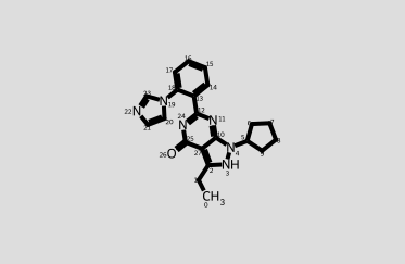 CCc1[nH]n(C2CCCC2)c2nc(-c3ccccc3-n3ccnc3)nc(=O)c1-2